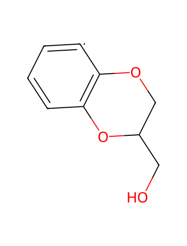 OCC1COc2[c]cccc2O1